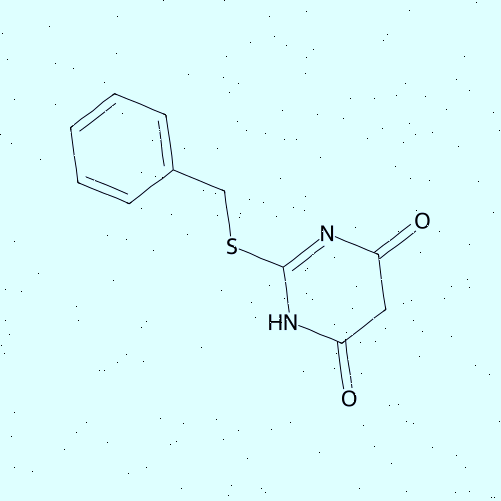 O=C1CC(=O)NC(SCc2ccccc2)=N1